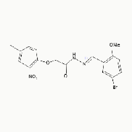 COc1ccc(Br)cc1/C=N/NC(=O)COc1ccc(C)cc1[N+](=O)[O-]